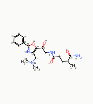 CC(C[CH]C(=O)NCC(=O)c1oc(-c2ccccc2)nc1CN(C)C)C(N)=O